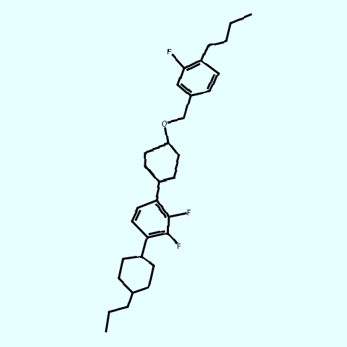 CCCCc1ccc(COC2CCC(c3ccc(C4CCC(CCC)CC4)c(F)c3F)CC2)cc1F